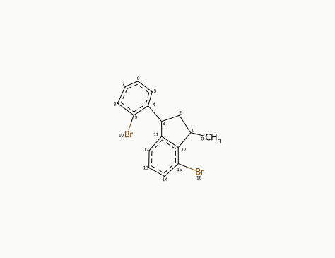 CC1CC(c2ccccc2Br)c2cccc(Br)c21